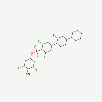 N#CC1C(F)CC(OC(F)(F)C2C(F)CC(C3CCC(C4CCCCC4)CC3F)CC2F)CC1F